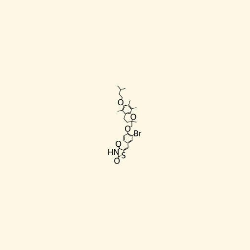 Cc1c(C)c2c(c(C)c1OCCC(C)C)CCC(C)(COc1ccc(C=C3SC(=O)NC3=O)cc1Br)O2